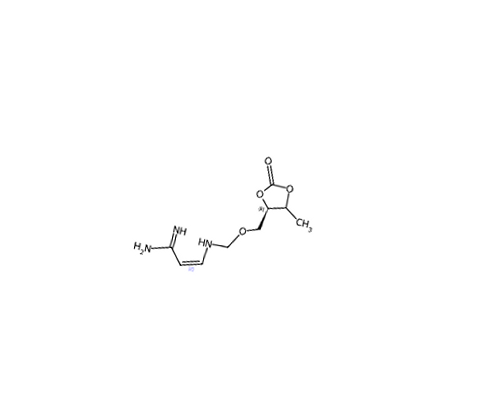 CC1OC(=O)O[C@@H]1COCN/C=C\C(=N)N